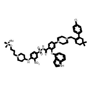 CC1(C)CCC(CN2CCN(c3ccc(C(=O)NS(=O)(=O)c4ccc(NC5CCN(CCCO[Si](C)(C)C(C)(C)C)CC5)c([N+](=O)[O-])c4)c(Oc4cccc5[nH]ccc45)c3)CC2)=C(c2ccc(Cl)cc2)C1